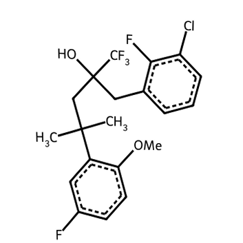 COc1ccc(F)cc1C(C)(C)CC(O)(Cc1cccc(Cl)c1F)C(F)(F)F